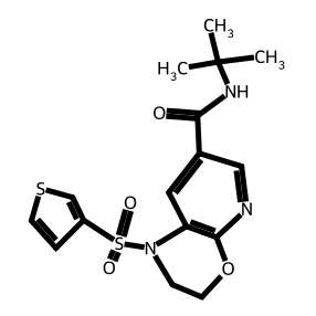 CC(C)(C)NC(=O)c1cnc2c(c1)N(S(=O)(=O)c1ccsc1)CCO2